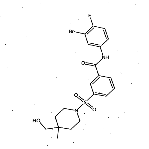 CC1(CO)CCN(S(=O)(=O)c2cccc(C(=O)Nc3ccc(F)c(Br)c3)c2)CC1